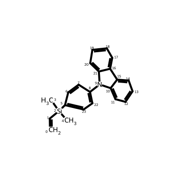 C=C[Si](C)(C)c1ccc(-n2c3ccccc3c3ccccc32)cc1